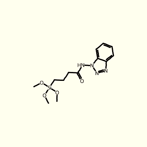 CO[Si](CCCC(=O)Nn1nnc2ccccc21)(OC)OC